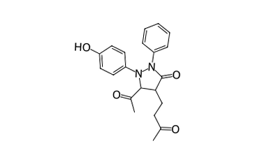 CC(=O)CCC1C(=O)N(c2ccccc2)N(c2ccc(O)cc2)C1C(C)=O